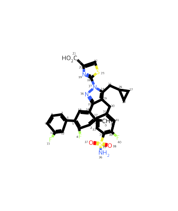 Cc1cc(F)c(-c2cccc(F)c2)cc1-c1nn(-c2nc(C(=O)O)cs2)c(CC2CC2)c1Cc1ccc(S(N)(=O)=O)c(F)c1